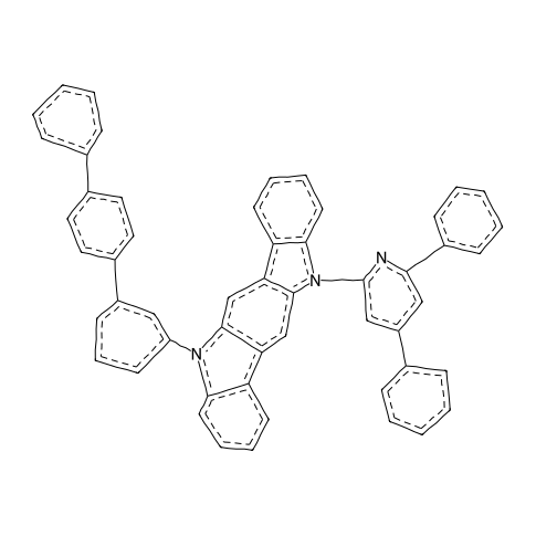 c1ccc(-c2ccc(-c3cccc(-n4c5ccccc5c5cc6c(cc54)c4ccccc4n6-c4cc(-c5ccccc5)cc(-c5ccccc5)n4)c3)cc2)cc1